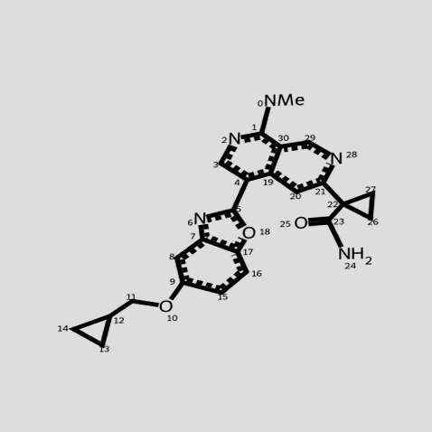 CNc1ncc(-c2nc3cc(OCC4CC4)ccc3o2)c2cc(C3(C(N)=O)CC3)ncc12